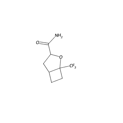 NC(=O)C1CC2CCC2(C(F)(F)F)O1